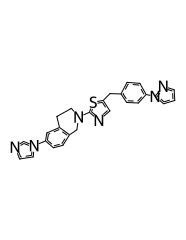 c1cnn(-c2ccc(Cc3cnc(N4CCc5cc(-n6ccnc6)ccc5C4)s3)cc2)c1